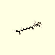 C#CC(=O)NCCCCCCC(=O)NOC(C)(C)C